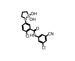 N#Cc1cc(Cl)cc(NC(=O)c2cc(N3CCCS3(O)O)ccc2Cl)c1